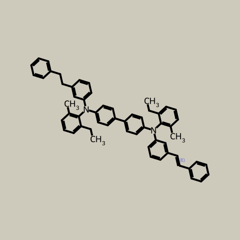 CCc1cccc(C)c1N(c1ccc(-c2ccc(N(c3cccc(CCc4ccccc4)c3)c3c(C)cccc3CC)cc2)cc1)c1cccc(/C=C/c2ccccc2)c1